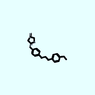 CCc1ccc(CCCc2ccc(C[C@@H]3CNCS3)cc2)cc1